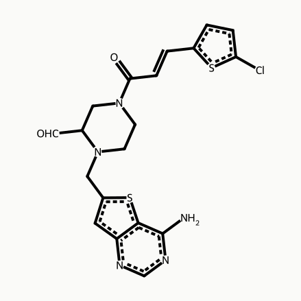 Nc1ncnc2cc(CN3CCN(C(=O)C=Cc4ccc(Cl)s4)CC3C=O)sc12